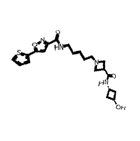 O=C(NCCCCCN1CC(C(=O)N[C@H]2C[C@H](O)C2)C1)c1cc(-c2cccs2)on1